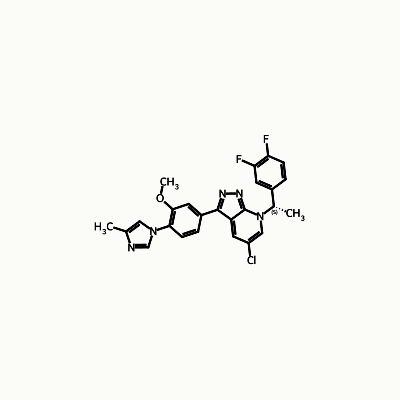 COc1cc(-c2nnc3n([C@@H](C)c4ccc(F)c(F)c4)cc(Cl)cc2-3)ccc1-n1cnc(C)c1